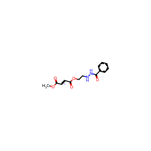 COC(=O)/C=C/C(=O)OCCNNC(=O)c1ccccc1